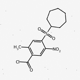 Cc1cc(S(=O)(=O)C2CCCCCC2)c([N+](=O)[O-])cc1C(=O)Cl